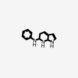 C1=CC2=CCC(Nc3ccccc3)NC2N1